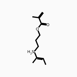 C=C(C)C(=O)OCCC[SiH2]C(C)=CC